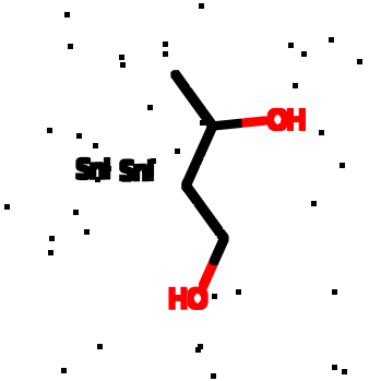 CC(O)CCO.[Sn].[Sn]